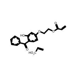 C=CC(=O)O.C=CC(=O)OCCOc1ccc(C(=O)c2ccccc2)c(O)c1